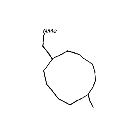 CNCC1CCCCC(C)CCCC1